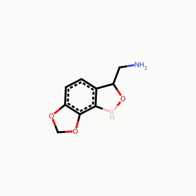 NCC1OBc2c1ccc1c2OCO1